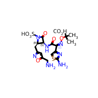 CC(C)(O/N=C(\C(=O)N[C@@H]1C(=O)N(S(=O)(=O)O)[C@@H]1Cc1cc(CN)on1)c1csc(N)n1)C(=O)O